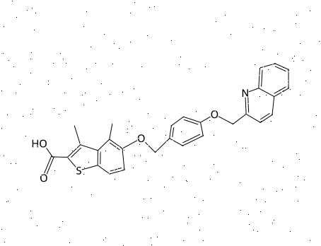 Cc1c(OCc2ccc(OCc3ccc4ccccc4n3)cc2)ccc2sc(C(=O)O)c(C)c12